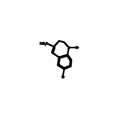 CCOC(=O)C1=Cc2cc(Br)ccc2N(C(C)C)CC1